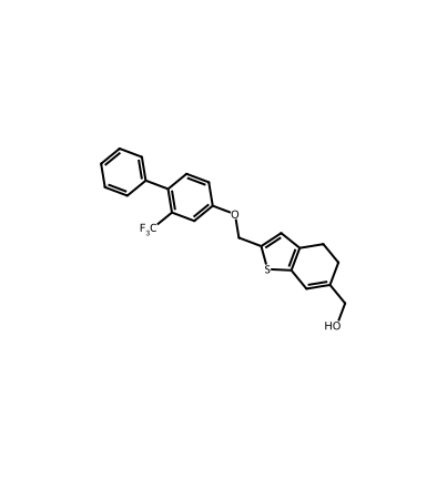 OCC1=Cc2sc(COc3ccc(-c4ccccc4)c(C(F)(F)F)c3)cc2CC1